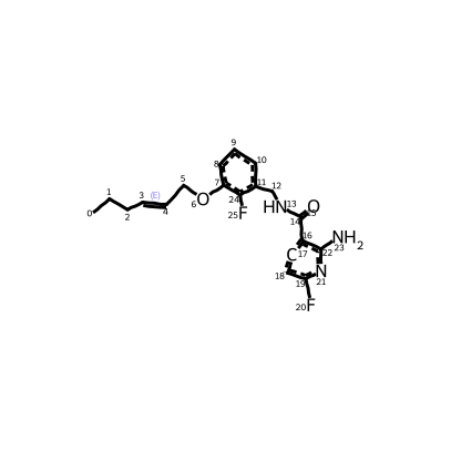 CCC/C=C/COc1cccc(CNC(=O)c2ccc(F)nc2N)c1F